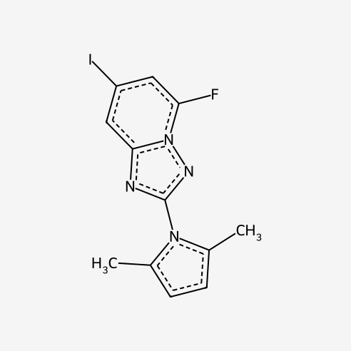 Cc1ccc(C)n1-c1nc2cc(I)cc(F)n2n1